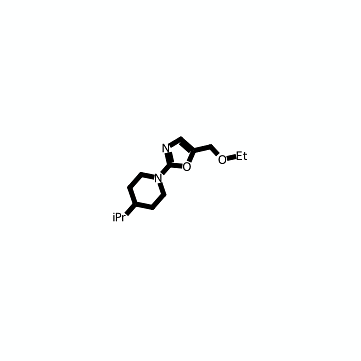 CCOCc1cnc(N2CCC(C(C)C)CC2)o1